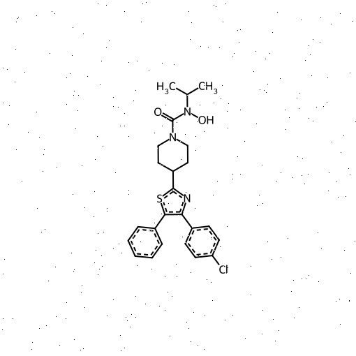 CC(C)N(O)C(=O)N1CCC(c2nc(-c3ccc(Cl)cc3)c(-c3ccccc3)s2)CC1